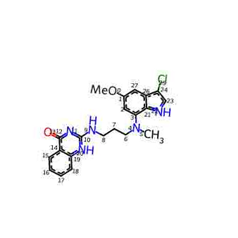 COc1cc(N(C)CCCNc2nc(=O)c3ccccc3[nH]2)c2[nH]cc(Cl)c2c1